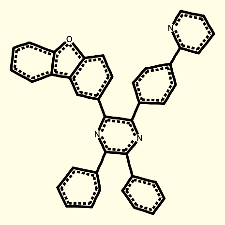 c1ccc(-c2nc(-c3ccc(-c4ccccn4)cc3)c(-c3ccc4oc5ccccc5c4c3)nc2-c2ccccc2)cc1